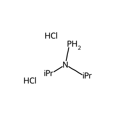 CC(C)N(P)C(C)C.Cl.Cl